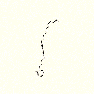 CC(C)=C/C=C\C=N\CCCCC#CC#CCCCC[n+]1ccccc1C